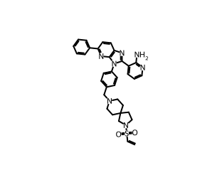 C=CS(=O)(=O)N1CCC2(CCN(Cc3ccc(-n4c(-c5cccnc5N)nc5ccc(-c6ccccc6)nc54)cc3)CC2)C1